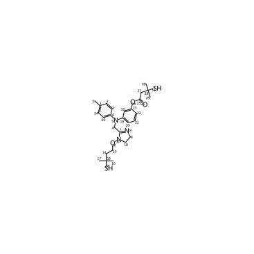 Cc1ccc(N(CC2=NCCN2OCCC(C)(C)S)c2cccc(OC(=O)CC(C)(C)S)c2)cc1